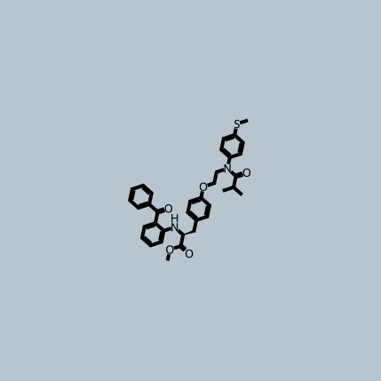 COC(=O)[C@H](Cc1ccc(OCCN(C(=O)C(C)C)c2ccc(SC)cc2)cc1)Nc1ccccc1C(=O)c1ccccc1